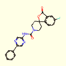 O=C1OC2(CCN(C(=O)Nc3cnc(-c4ccccc4)cn3)CC2)c2ccc(F)cc21